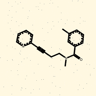 Cc1cccc(C(=O)N(C)CCC#Cc2ccccn2)c1